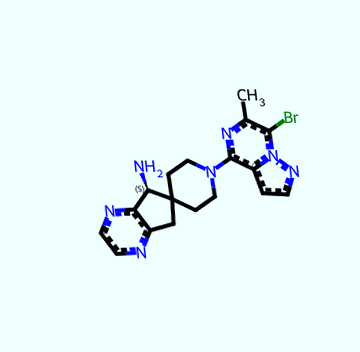 Cc1nc(N2CCC3(CC2)Cc2nccnc2[C@H]3N)c2ccnn2c1Br